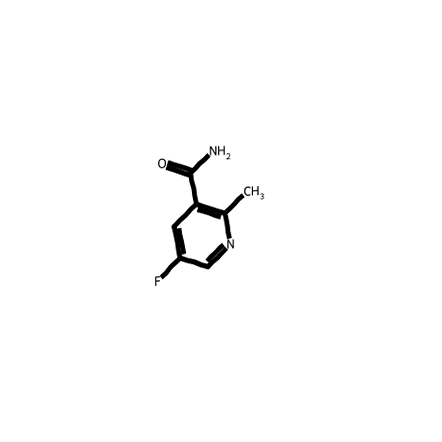 Cc1ncc(F)cc1C(N)=O